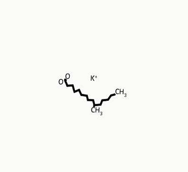 CCCCCCC(C)CCCCCCCCC(=O)[O-].[K+]